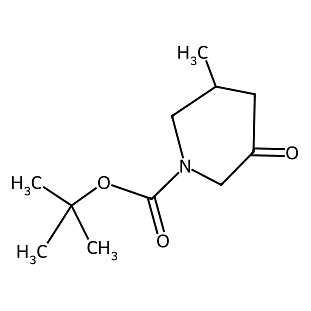 CC1CC(=O)CN(C(=O)OC(C)(C)C)C1